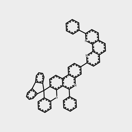 c1ccc(-c2ccc3ccc4ccc(-c5ccc6c(c5)nc(-c5ccccc5)c5c7c(ccc56)C5(c6ccccc6S7)c6ccccc6-c6ccccc65)nc4c3n2)cc1